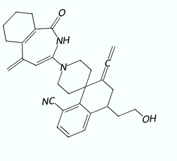 C=C=C1CC(CCO)c2cccc(C#N)c2C12CCN(C1=CC(=C)C3=C(CCCC3)C(=O)N1)CC2